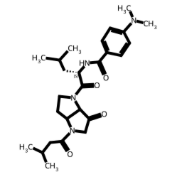 CC(C)CC(=O)N1CC(=O)C2C1CCN2C(=O)[C@H](CC(C)C)NC(=O)c1ccc(N(C)C)cc1